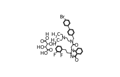 CCN(CC)CCN(Cc1ccc(-c2ccc(Br)cc2)cc1)C(=O)Cn1c(CCc2cccc(F)c2F)nc(=O)c2ccccc21.O=C(O)C(O)C(O)C(=O)O